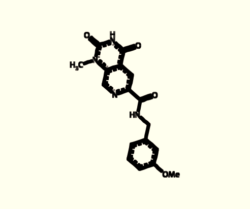 COc1cccc(CNC(=O)c2cc3c(=O)[nH]c(=O)n(C)c3cn2)c1